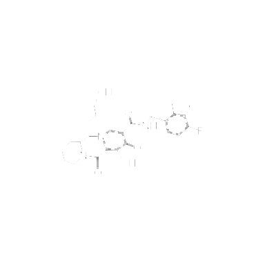 COCC[C@H]1C2CCCCN2C(=O)c2c(O)c(=O)c(C(=O)NCc3ccc(F)c(Cl)c3F)cn21